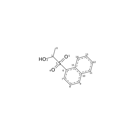 CC(O)S(=O)(=O)c1cccc2ccccc12